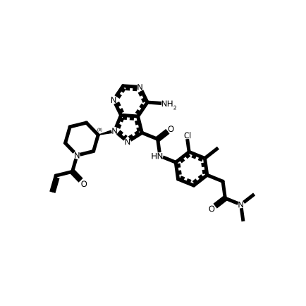 C=CC(=O)N1CCC[C@@H](n2nc(C(=O)Nc3ccc(CC(=O)N(C)C)c(C)c3Cl)c3c(N)ncnc32)C1